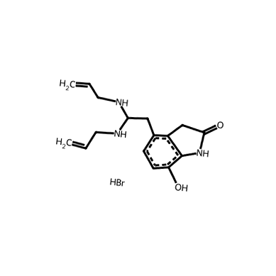 Br.C=CCNC(Cc1ccc(O)c2c1CC(=O)N2)NCC=C